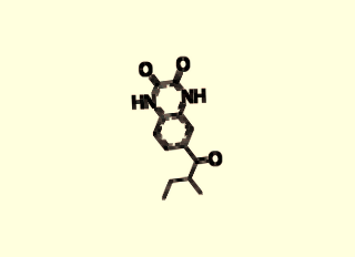 CCC(C)C(=O)c1ccc2[nH]c(=O)c(=O)[nH]c2c1